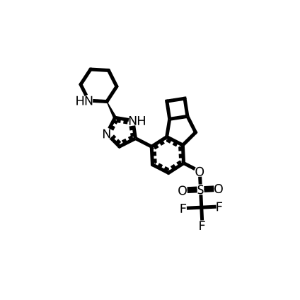 O=S(=O)(Oc1ccc(-c2cnc([C@@H]3CCCCN3)[nH]2)c2c1CC1CCC21)C(F)(F)F